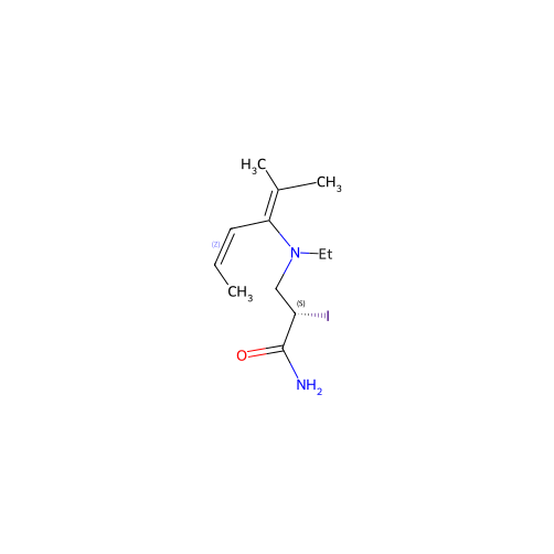 C/C=C\C(=C(C)C)N(CC)C[C@H](I)C(N)=O